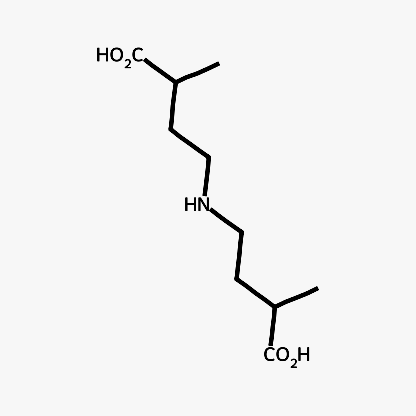 CC(CCNCCC(C)C(=O)O)C(=O)O